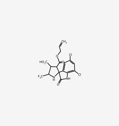 C=CCOC(=O)C1C(C(=O)O)C(C(F)(F)F)NC12C(=O)Nc1c(Cl)cc(Cl)cc12